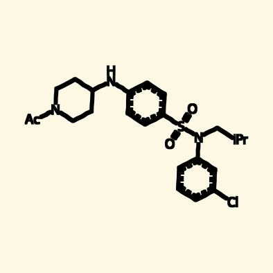 CC(=O)N1CCC(Nc2ccc(S(=O)(=O)N(CC(C)C)c3cccc(Cl)c3)cc2)CC1